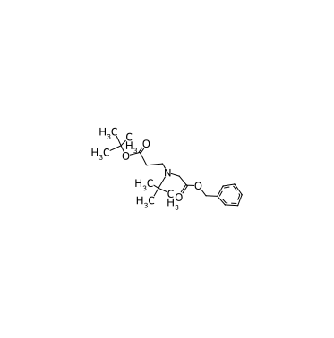 CC(C)(C)OC(=O)CCN(CC(=O)OCc1ccccc1)C(C)(C)C